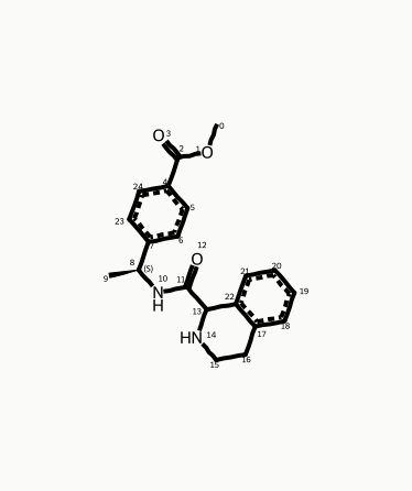 COC(=O)c1ccc([C@H](C)NC(=O)C2NCCc3ccccc32)cc1